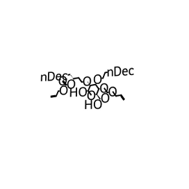 C=CCOC(=O)O[C@H](CCCCCCCCCCC)CCO[C@@H]1[C@@H](OCCCCCCCCCCCC)[C@H](OC(=O)OCC=C)[C@@H](CO)O[C@@H]1O